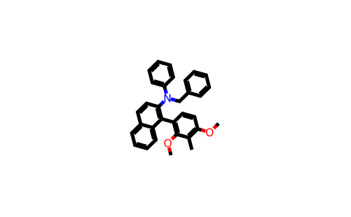 COc1ccc(-c2c(N(Cc3ccccc3)c3ccccc3)ccc3ccccc23)c(OC)c1C